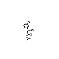 CC(C)OC(=O)C=C(C#N)c1cccc(N(C)C)c1